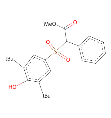 COC(=O)C(c1ccccc1)S(=O)(=O)c1cc(C(C)(C)C)c(O)c(C(C)(C)C)c1